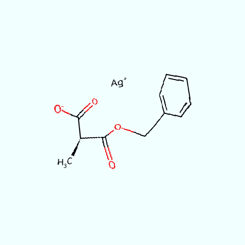 C[C@@H](C(=O)[O-])C(=O)OCc1ccccc1.[Ag+]